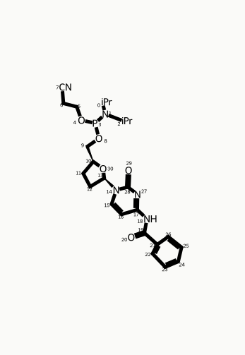 CC(C)N(C(C)C)P(OCCC#N)OC[C@@H]1CC[C@H](n2ccc(NC(=O)c3ccccc3)nc2=O)O1